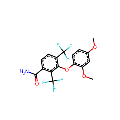 COc1ccc(Oc2c(C(F)(F)F)ccc(C(N)=O)c2C(F)(F)F)c(OC)c1